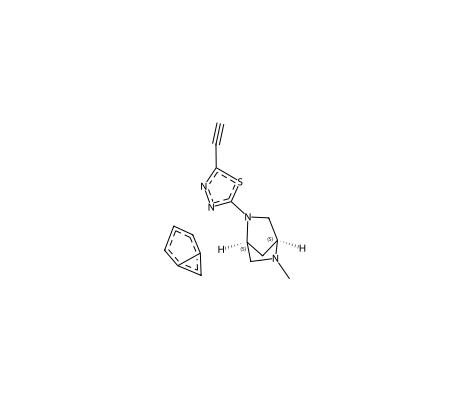 C#Cc1nnc(N2C[C@@H]3C[C@H]2CN3C)s1.c1cc2cc-2c1